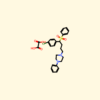 O=C(O)C(=O)O.O=S(=O)(c1ccccc1)C(CCCN1CCN(c2ccccc2)CC1)c1ccc(Cl)cc1